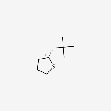 CC(C)(C)C[C@H]1CCCS1